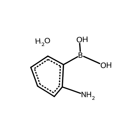 Nc1ccccc1B(O)O.O